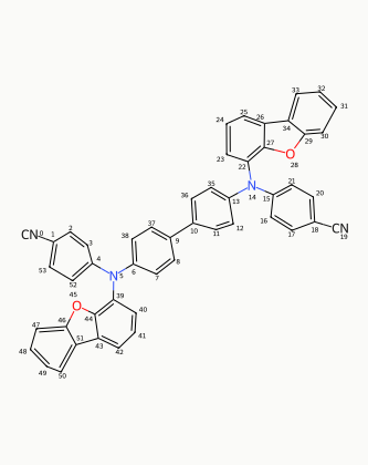 [C-]#[N+]c1ccc(N(c2ccc(-c3ccc(N(c4ccc(C#N)cc4)c4cccc5c4oc4ccccc45)cc3)cc2)c2cccc3c2oc2ccccc23)cc1